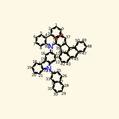 c1ccc(-c2ccccc2N(c2ccc3c(c2)c2ccccc2n3-c2ccc3ccccc3c2)c2cccc3c2-c2cccc4cc5ccccc5c-3c24)cc1